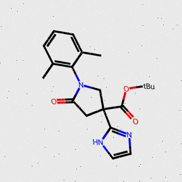 Cc1cccc(C)c1N1CC(C(=O)OC(C)(C)C)(c2ncc[nH]2)CC1=O